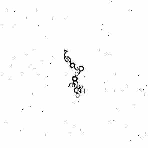 O=C1CCC(N2Cc3cc(OCC4CCCCN4Cc4ccc(N5CCN(CC6CC6)CC5)cc4)ccc3C2=O)C(=O)N1